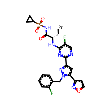 CC(C)C[C@H](Nc1nc(-c2cc(-c3ccon3)n(Cc3ccccc3F)n2)ncc1F)C(=O)NS(=O)(=O)C1CC1